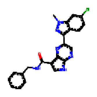 Cn1nc(-c2cnc3[nH]cc(C(=O)NCc4ccccc4)c3n2)c2ccc(Cl)cc21